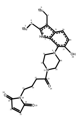 CC(C)(C)Cc1c(SC(C)(C)C)[nH]c2c(N3CCN(C(=O)CCCN4C(=O)C=CC4=O)CC3)c(O)ccc12